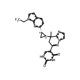 CC1([C@H]2C[C@@H]2c2ccc3ccn(CC(F)(F)F)c3n2)CC(c2c[nH]c(=O)[nH]c2=O)=Nn2ccnc21